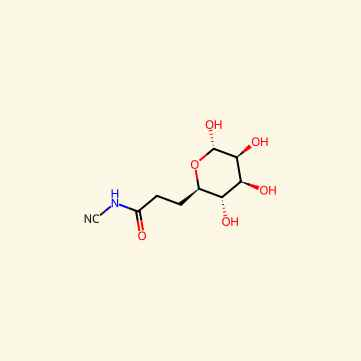 N#CNC(=O)CC[C@H]1O[C@H](O)[C@@H](O)[C@@H](O)[C@@H]1O